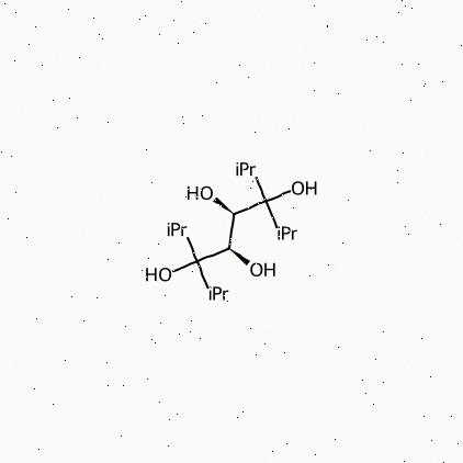 CC(C)C(O)(C(C)C)[C@H](O)[C@@H](O)C(O)(C(C)C)C(C)C